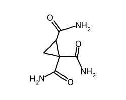 NC(=O)C1CC1(C(N)=O)C(N)=O